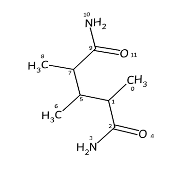 CC(C(N)=O)C(C)C(C)C(N)=O